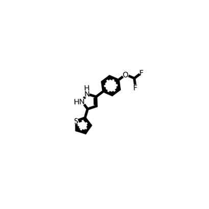 FC(F)Oc1ccc(C2=CC(c3cccs3)NN2)cc1